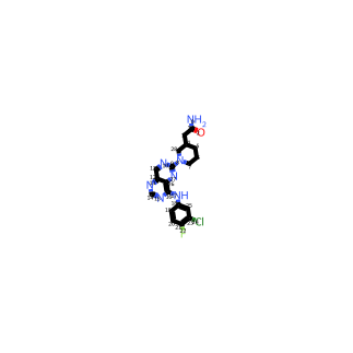 NC(=O)CC1CCCN(c2ncc3ncnc(Nc4ccc(F)c(Cl)c4)c3n2)C1